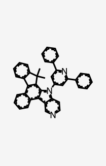 CC1(C)c2ccccc2-c2c1c1c(c3ccccc23)c2cnccc2n1-c1cc(-c2ccccc2)nc(-c2ccccc2)c1